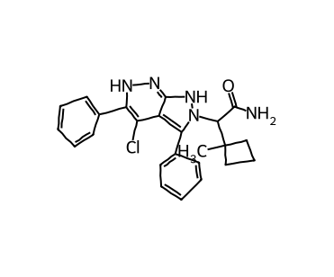 CC1(C(C(N)=O)N2NC3=NNC(c4ccccc4)=C(Cl)C3=C2c2ccccc2)CCC1